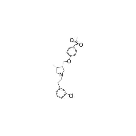 C[C@H]1CN(CCc2cccc(Cl)c2)C[C@H]1COc1ccc(S(C)(=O)=O)cc1